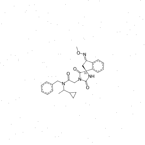 CON=C1C[C@]2(NC(=O)N(CC(=O)N(Cc3ccccc3)C(C)C3CC3)C2=O)c2ccccc21